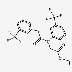 CCOC(=O)CN(C(=O)Cc1cccc(C(F)(F)F)c1)c1cccc(C(F)(F)F)c1